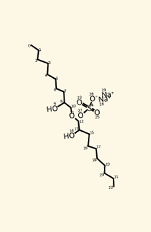 CCCCCCCCC(O)COCC(O)CCCCCCCC.O=S(=O)([O-])[O-].[Na+].[Na+]